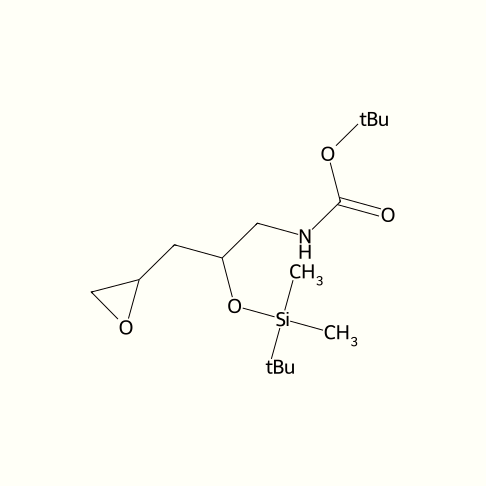 CC(C)(C)OC(=O)NCC(CC1CO1)O[Si](C)(C)C(C)(C)C